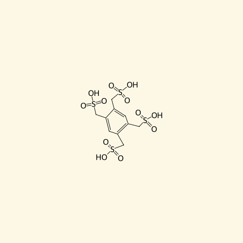 O=S(=O)(O)Cc1cc(CS(=O)(=O)O)c(CS(=O)(=O)O)cc1CS(=O)(=O)O